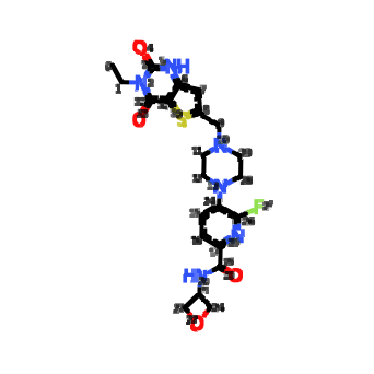 CCn1c(=O)[nH]c2cc(CN3CCN(c4ccc(C(=O)NC5COC5)nc4F)CC3)sc2c1=O